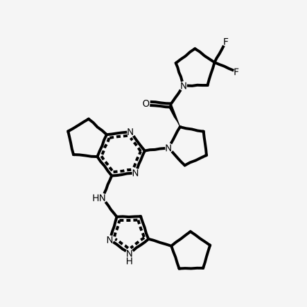 O=C([C@H]1CCCN1c1nc2c(c(Nc3cc(C4CCCC4)[nH]n3)n1)CCC2)N1CCC(F)(F)C1